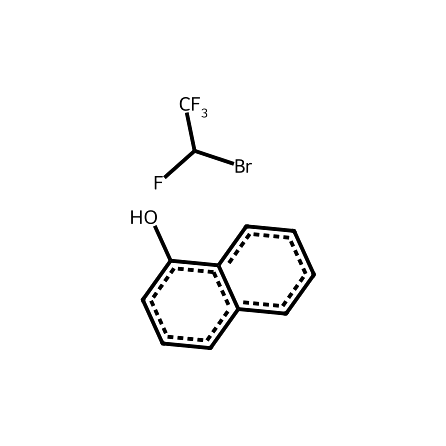 FC(Br)C(F)(F)F.Oc1cccc2ccccc12